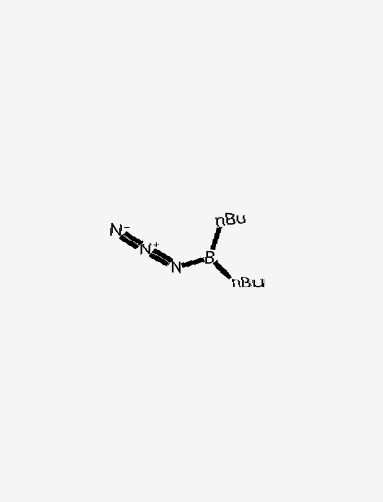 CCCCB(CCCC)N=[N+]=[N-]